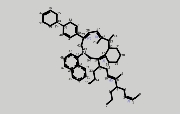 C/C=C\CC(CCC)/C(C)=C/CC(CCC)/C1=C2\CCCCC2C(C)/C(C)=C/C=C(/C2=CCC([C@@H]3CC=CCC3)C=C2)CN(c2cccc3ccccc23)C1